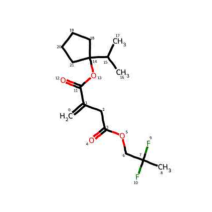 C=C(CC(=O)OCC(C)(F)F)C(=O)OC1(C(C)C)CCCC1